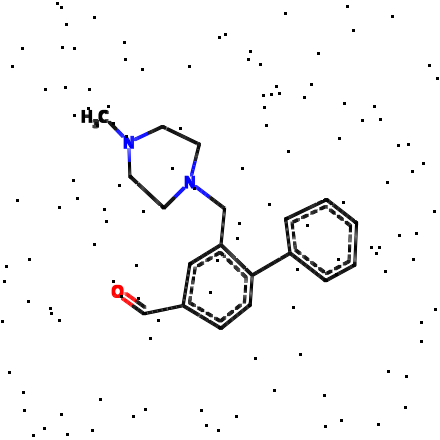 CN1CCN(Cc2cc(C=O)ccc2-c2ccccc2)CC1